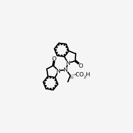 C[C@@H](C(=O)O)N(N1C(=O)Cc2ccccc21)N1C(=O)Cc2ccccc21